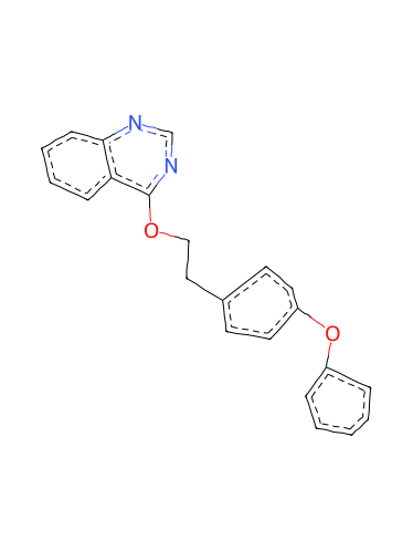 c1ccc(Oc2ccc(CCOc3ncnc4ccccc34)cc2)cc1